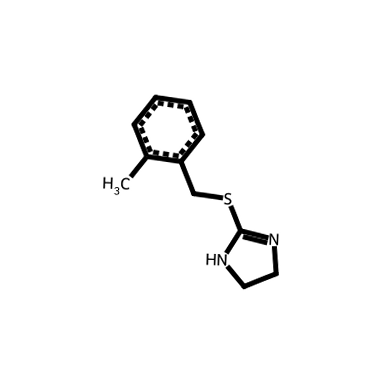 Cc1ccccc1CSC1=NCCN1